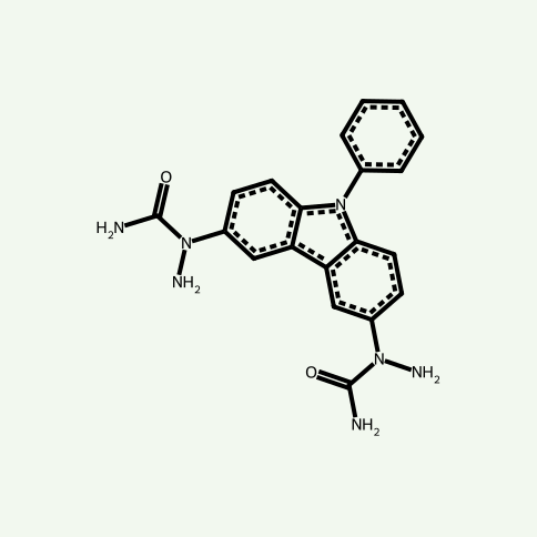 NC(=O)N(N)c1ccc2c(c1)c1cc(N(N)C(N)=O)ccc1n2-c1ccccc1